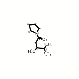 CC(C)C(C)CC(=O)N1CCCC1